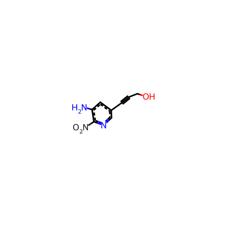 Nc1cc(C#CCO)cnc1[N+](=O)[O-]